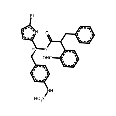 CCc1csc([C@H](Cc2ccc(NS(=O)(=O)O)cc2)NC(=O)C(Cc2ccccc2)c2ccccc2C=O)n1